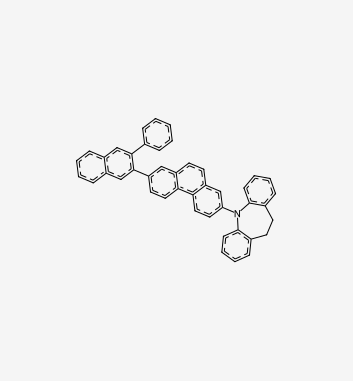 c1ccc(-c2cc3ccccc3cc2-c2ccc3c(ccc4cc(N5c6ccccc6CCc6ccccc65)ccc43)c2)cc1